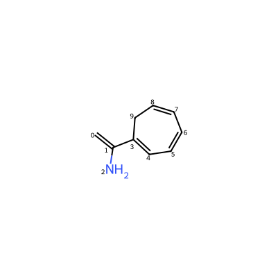 C=C(N)C1=CC=CC=CC1